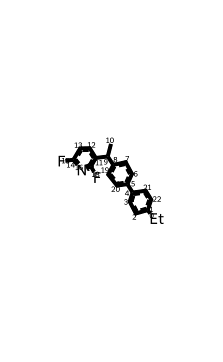 CCc1ccc(-c2ccc(C(C)c3ccc(F)nc3F)cc2)cc1